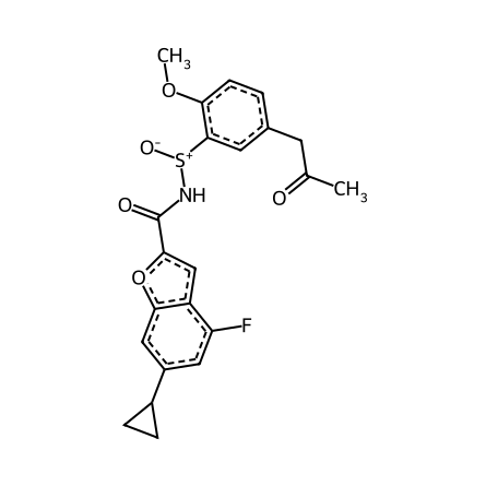 COc1ccc(CC(C)=O)cc1[S+]([O-])NC(=O)c1cc2c(F)cc(C3CC3)cc2o1